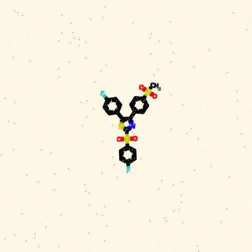 CS(=O)(=O)c1ccc(-c2nc(S(=O)(=O)c3ccc(F)cc3)sc2-c2ccc(F)cc2)cc1